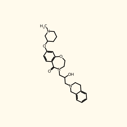 CN1CCCC(Oc2ccc3c(c2)OCCN(CC(O)CN2CCc4ccccc4C2)C3=O)C1